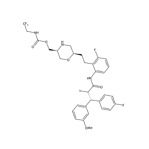 COc1cccc([C@@H](c2ccc(F)cc2)C(I)C(=O)Nc2cccc(F)c2CC[C@@H]2CN[C@H](COC(=O)NCC(F)(F)F)CO2)c1